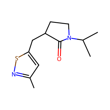 Cc1cc(CC2CCN(C(C)C)C2=O)sn1